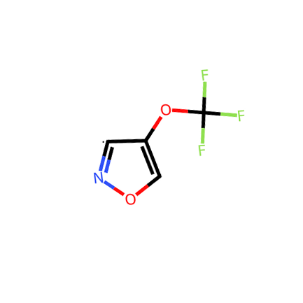 FC(F)(F)Oc1[c]noc1